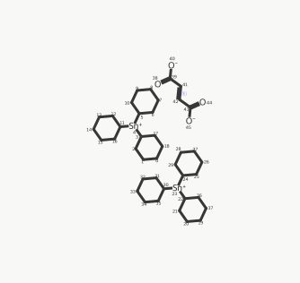 C1CC[CH]([Sn+]([CH]2CCCCC2)[CH]2CCCCC2)CC1.C1CC[CH]([Sn+]([CH]2CCCCC2)[CH]2CCCCC2)CC1.O=C([O-])/C=C/C(=O)[O-]